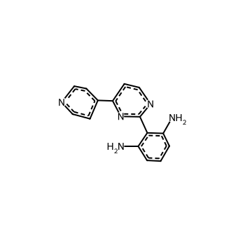 Nc1cccc(N)c1-c1nccc(-c2ccncc2)n1